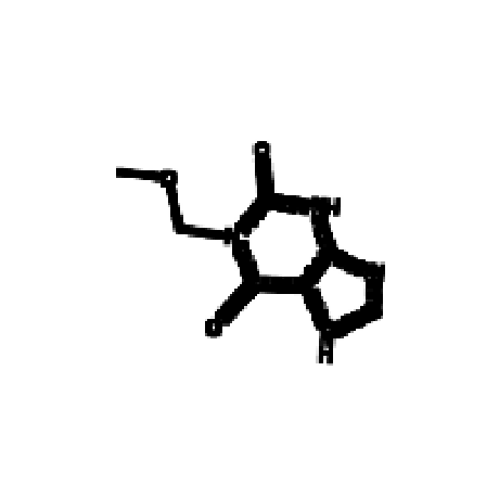 COCn1c(=O)[nH]c2nc[nH]c2c1=O